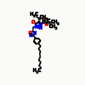 CCCCCCCCCCc1ccc(-c2noc(CNC(=O)[C@@H](NC(=O)OC(C)(C)C)[C@@H](C)CC)n2)cc1